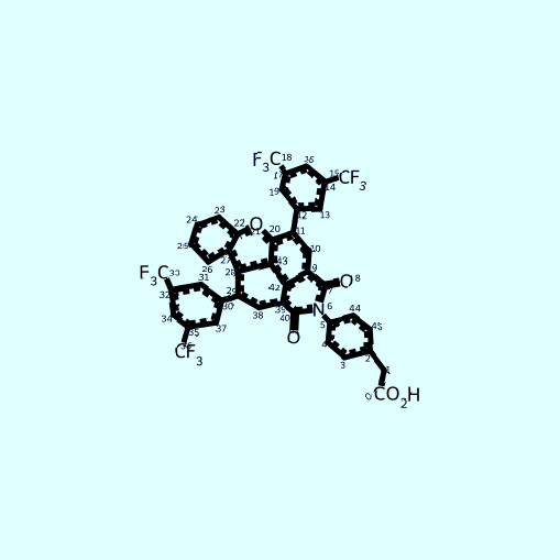 O=C(O)Cc1ccc(-n2c(=O)c3cc(-c4cc(C(F)(F)F)cc(C(F)(F)F)c4)c4oc5ccccc5c5c(-c6cc(C(F)(F)F)cc(C(F)(F)F)c6)cc(c2=O)c3c45)cc1